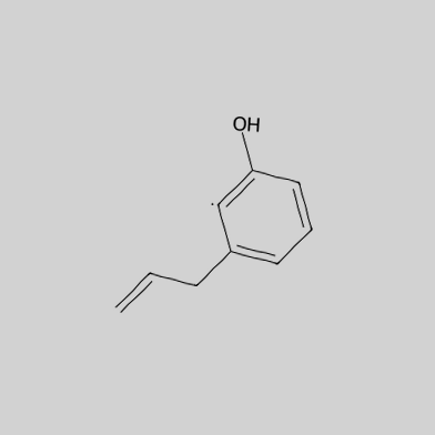 C=CCc1[c]c(O)ccc1